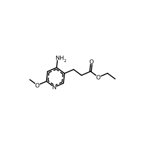 CCOC(=O)CCc1cnc(OC)cc1N